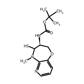 CN1c2ncccc2OC[C@H](NC(=O)OC(C)(C)C)C1S